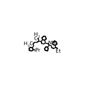 C=C/C(=C\C=C(\C)Cc1ccccc1C(C)C)C1=CCC(C2NC2(C/C=C\C(=C/CC)c2ccccc2)c2ccccc2)c2ccccc21